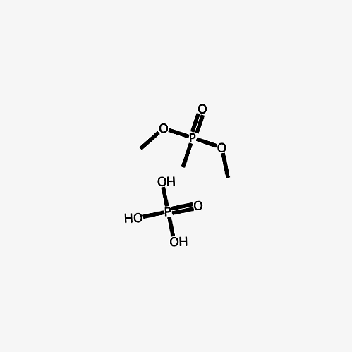 COP(C)(=O)OC.O=P(O)(O)O